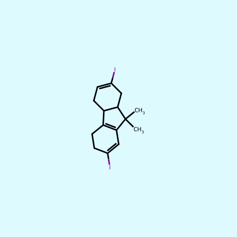 CC1(C)C2=C(CCC(I)=C2)C2CC=C(I)CC21